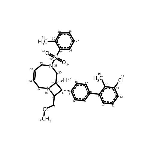 COCC1[C@@H](c2ccc(-c3cccc(Cl)c3C)cc2)[C@@H]2CN(S(=O)(=O)c3ccccc3C)C/C=C\CN12